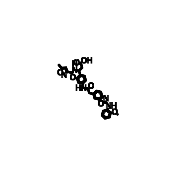 COc1ccccc1Nc1nc2ccc(CC(=O)Nc3ccc(C(CC(=O)O)NC(=O)c4cc(C)on4)cc3)cc2o1